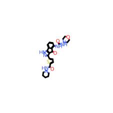 O=C(Nc1cccc2c1C(=O)c1c(-c3ccc(C(=O)NN4CCCCC4)s3)n[nH]c1-2)NN1CCOCC1